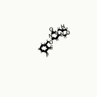 O=c1nc(OCc2cccc(F)c2F)cc2n1C[C@@H]1COCN21